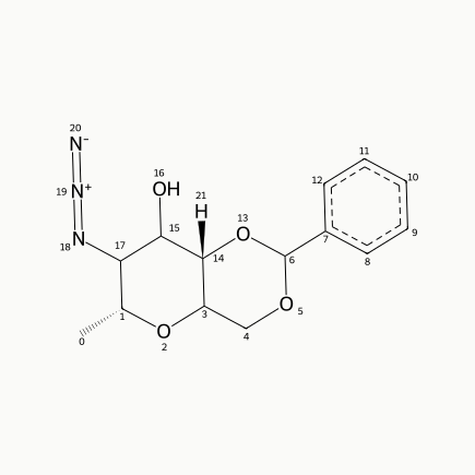 C[C@H]1OC2COC(c3ccccc3)O[C@H]2C(O)C1N=[N+]=[N-]